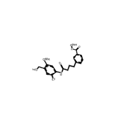 CCCCCCOC(=O)c1cccc(CCCC(=O)Nc2cc(OC)c(CO)cc2Cl)c1